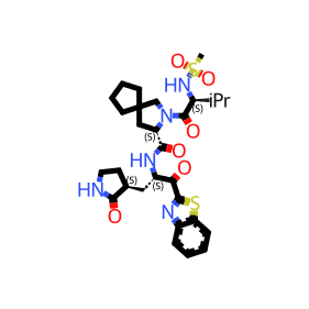 CC(C)[C@H](NS(C)(=O)=O)C(=O)N1CC2(CCCC2)C[C@H]1C(=O)N[C@@H](C[C@@H]1CCNC1=O)C(=O)c1nc2ccccc2s1